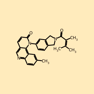 CC(C)=C(C)C(=O)N1Cc2ccc(-n3c(=O)ccc4cnc5ccc(C)cc5c43)cc2C1